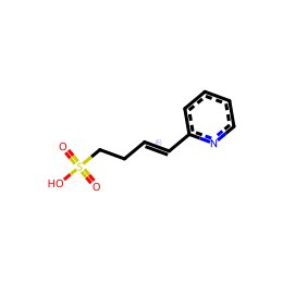 O=S(=O)(O)CC/C=C/c1ccccn1